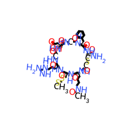 CSCSC[C@@H]1NC(=O)[C@H](CCCCNC(C)=O)NC(=O)CSC[C@@H](C(N)=O)NC(=O)[C@H](Cc2ccccc2)NC(=O)CNC(=O)[C@H](CC(=O)O)NC(=O)CNC(=O)[C@H](CCCNC(=N)N)NC1=O